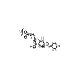 CC(C)(C)OC(=O)NCCCCC(NC(=O)OCc1ccccc1)C(O)C(=O)O